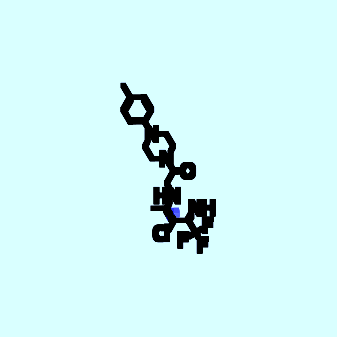 C/C(NCC(=O)N1CCN(c2ccc(C)cc2)CC1)=C(\Cl)C(=N)C(F)(F)F